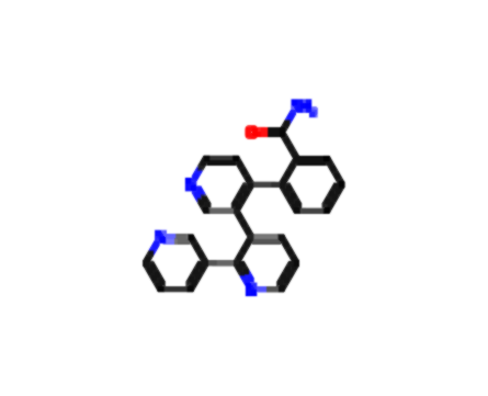 NC(=O)c1ccccc1-c1ccncc1-c1cccnc1-c1cccnc1